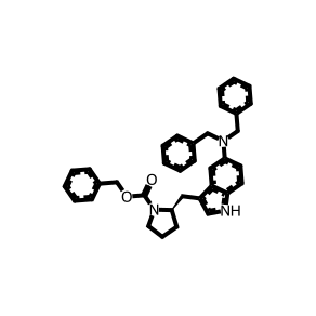 O=C(OCc1ccccc1)N1CCC[C@@H]1Cc1c[nH]c2ccc(N(Cc3ccccc3)Cc3ccccc3)cc12